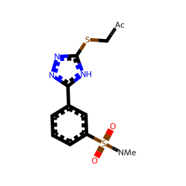 CNS(=O)(=O)c1cccc(-c2nnc(SCC(C)=O)[nH]2)c1